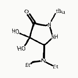 CCN(CC)C1NN(C(C)(C)C)C(=O)C1(O)O